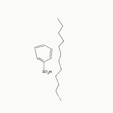 CCCCCCCCCCCC.O=S(=O)(O)c1ccccc1